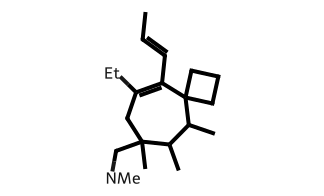 CC=CC1=C(CC)CC(C)(CNC)C(C)C(C)C12CCC2